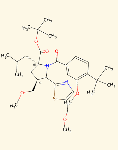 COCc1cnc(C2[C@@H](COC)C[C@@](CC(C)C)(C(=O)OC(C)(C)C)N2C(=O)c2ccc(C(C)(C)C)c(OC)c2)s1